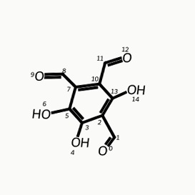 O=Cc1c(O)c(O)c(C=O)c(C=O)c1O